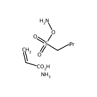 C=CC(=O)O.CC(C)CS(=O)(=O)ON.N